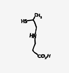 CC(S)CNCCC(=O)O